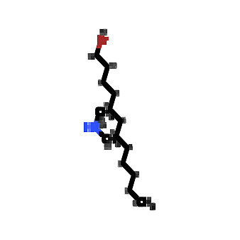 CCCCCCCCCCCCBr.CNC